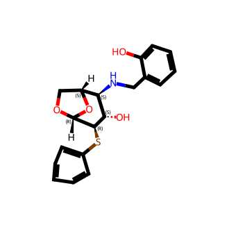 Oc1ccccc1CN[C@H]1[C@H](O)[C@@H](Sc2ccccc2)[C@@H]2OC[C@H]1O2